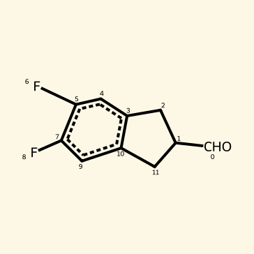 O=CC1Cc2cc(F)c(F)cc2C1